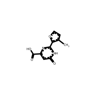 Cc1ccoc1-c1nc(C(=O)O)cc(=O)[nH]1